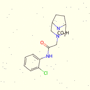 O=C(CN1CC2CCC(C1)N2C(=O)O)Nc1ccccc1Cl